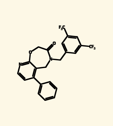 O=C1COc2nccc(-c3ccccc3)c2CN1Cc1cc(C(F)(F)F)cc(C(F)(F)F)c1